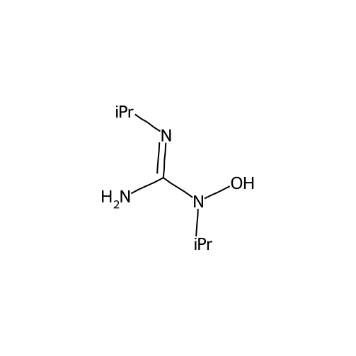 CC(C)/N=C(\N)N(O)C(C)C